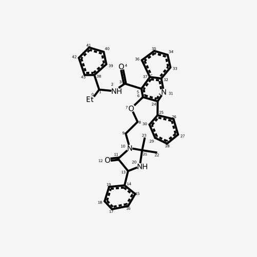 CCC(NC(=O)c1c(OCCN2C(=O)C(c3ccccc3)NC2(C)C)c(-c2ccccc2)nc2ccccc12)c1ccccc1